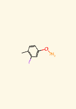 Cc1ccc(OP)cc1I